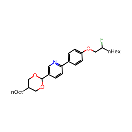 CCCCCCCCC1COC(c2ccc(-c3ccc(OCC(F)CCCCCC)cc3)nc2)OC1